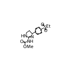 CCS(=O)(=O)c1ccc(C2CCNC(NC(=O)OC)=N2)cc1